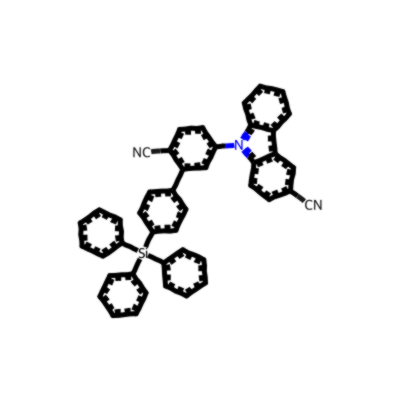 N#Cc1ccc2c(c1)c1ccccc1n2-c1ccc(C#N)c(-c2ccc([Si](c3ccccc3)(c3ccccc3)c3ccccc3)cc2)c1